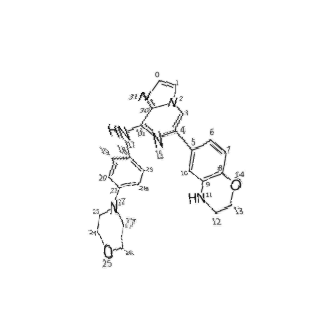 c1cn2cc(-c3ccc4c(c3)NCCO4)nc(Nc3ccc(N4CCOCC4)cc3)c2n1